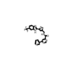 O=C(NCc1cc(-c2nc3ccc(C(F)(F)F)cc3[nH]2)no1)c1cc(-c2cccnc2)ncn1